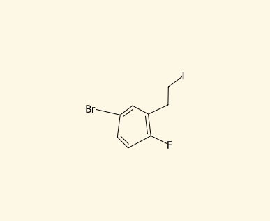 Fc1ccc(Br)cc1CCI